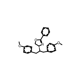 COc1ccc(C[C](Cc2ccc(OC)cc2)[C@H]2COC(c3ccccc3)=N2)cc1